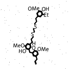 C=CCc1cc(Cc2cc(CCCSCCSCCCc3cc(CC)c(O)c(OC)c3)cc(OC)c2O)c(O)c(OC)c1